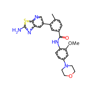 COc1cc(N2CCOCC2)ccc1NC(=O)c1ccc(C)c(-c2cnc3sc(N)nc3c2)c1